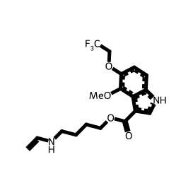 C=CNCCCCOC(=O)c1c[nH]c2ccc(OCC(F)(F)F)c(OC)c12